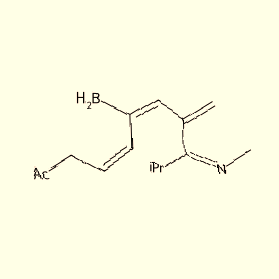 BC(/C=C\CC(C)=O)=C/C(=C)/C(=N\C)C(C)C